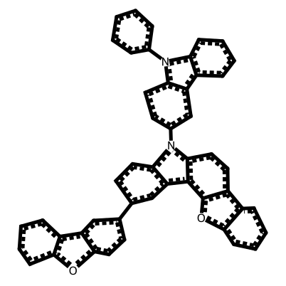 c1ccc(-n2c3ccccc3c3cc(-n4c5ccc(-c6ccc7oc8ccccc8c7c6)cc5c5c6oc7ccccc7c6ccc54)ccc32)cc1